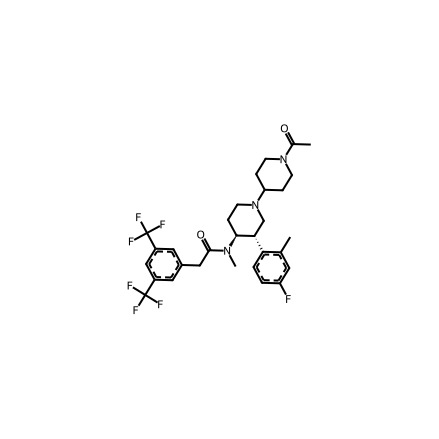 CC(=O)N1CCC(N2CC[C@H](N(C)C(=O)Cc3cc(C(F)(F)F)cc(C(F)(F)F)c3)[C@@H](c3ccc(F)cc3C)C2)CC1